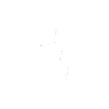 [Li][CH2]CCN(CC)CCC